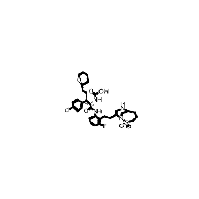 O=C(O)N[C@H](C(=O)Nc1cccc(F)c1CCC1CNC2CCCS(=O)(=O)N1C2)[C@H](CCC1CCCCO1)c1ccc(Cl)cc1